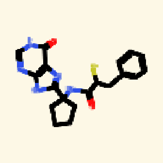 O=C(NC1(c2nc3c(=O)[nH]cnc3[nH]2)CCCC1)C(S)Cc1ccccc1